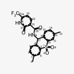 Cc1ccc2c(c1)S(=O)(=O)c1cc(C)ccc1C2NC(=O)c1ccc(C(F)(F)F)[nH]c1=O